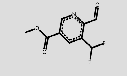 COC(=O)c1cnc(C=O)c(C(F)F)c1